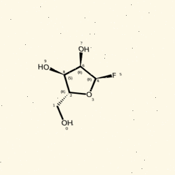 OC[C@H]1O[C@H](F)[C@H](O)[C@@H]1O